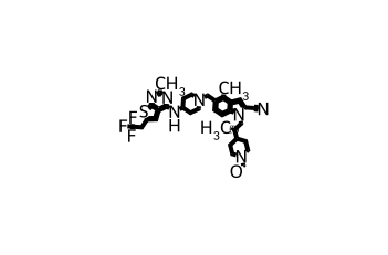 Cc1nc(NC2CCN(Cc3ccc4c(cc(C#N)n4C[C@H](C)C4CCN(C=O)CC4)c3C)CC2)c2cc(CC(F)(F)F)sc2n1